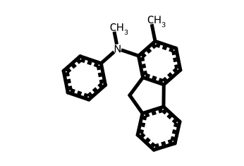 Cc1ccc2c(c1N(C)c1ccccc1)Cc1ccccc1-2